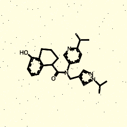 CC(C)c1ccc(N(Cc2cnn(C(C)C)c2)C(=O)C2CCCc3c(O)cccc32)cn1